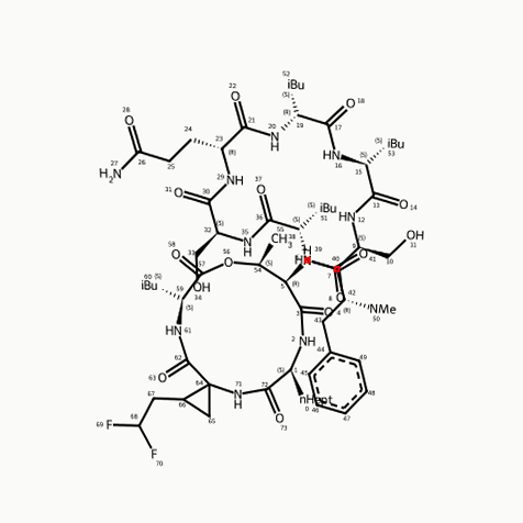 CCCCCCC[C@@H]1NC(=O)[C@H](NC(=O)[C@H](CO)NC(=O)[C@@H](NC(=O)[C@H](NC(=O)[C@@H](CCC(N)=O)NC(=O)[C@H](CO)NC(=O)[C@@H](NC(=O)[C@@H](Cc2ccccc2)NC)[C@@H](C)CC)[C@@H](C)CC)[C@@H](C)CC)[C@H](C)OC(=O)[C@H]([C@@H](C)CC)NC(=O)C2(CC2CC(F)F)NC1=O